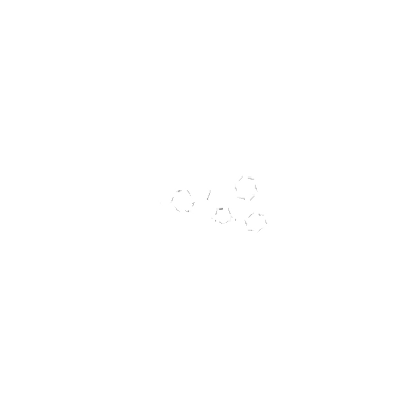 COc1ccc(C(=O)c2cn(-c3ccccc3-c3ccccc3)cn2)cc1